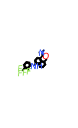 Cc1cccc2c(Nc3cccc(C(F)(F)F)c3F)ccc(C(=O)N(C)C)c12